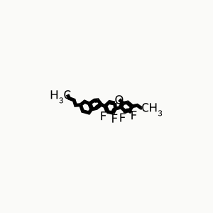 CCCCC1CCc2cc(-c3cc4oc5cc(CCC)c(F)c(F)c5c4c(F)c3F)ccc2C1